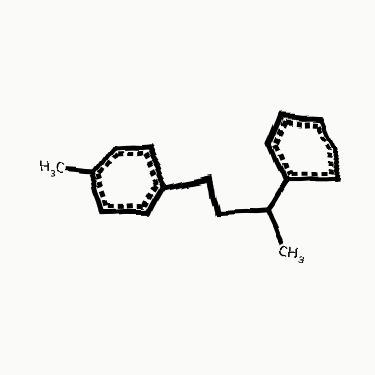 Cc1ccc(CCC(C)c2ccccc2)cc1